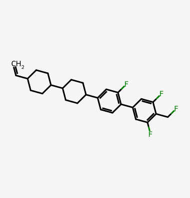 C=CC1CCC(C2CCC(c3ccc(-c4cc(F)c(CF)c(F)c4)c(F)c3)CC2)CC1